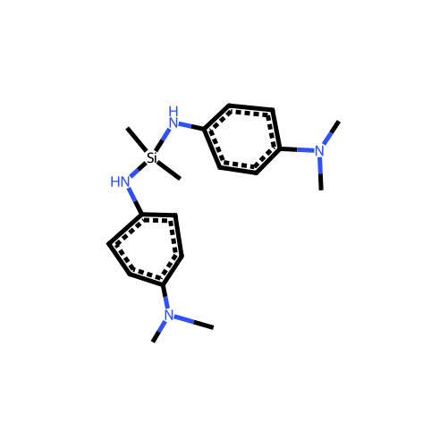 CN(C)c1ccc(N[Si](C)(C)Nc2ccc(N(C)C)cc2)cc1